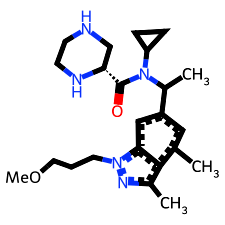 COCCCn1nc(C)c2c(C)cc(C(C)N(C(=O)[C@H]3CNCCN3)C3CC3)cc21